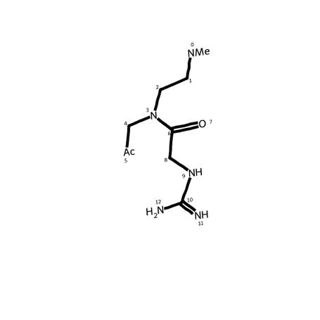 CNCCN(CC(C)=O)C(=O)CNC(=N)N